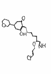 N=CC(CCCCCC1=C(O)CC(C2CCCOC2)CC1=O)OCC=CCl